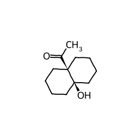 CC(=O)[C@]12CCCC[C@@]1(O)CCCC2